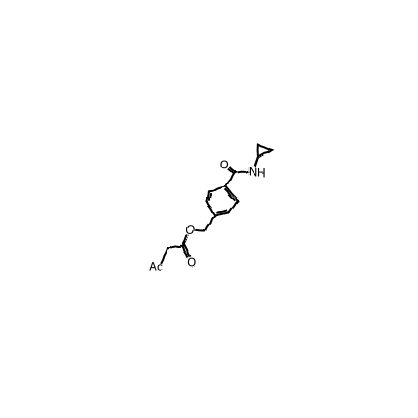 CC(=O)CC(=O)OCc1ccc(C(=O)NC2CC2)cc1